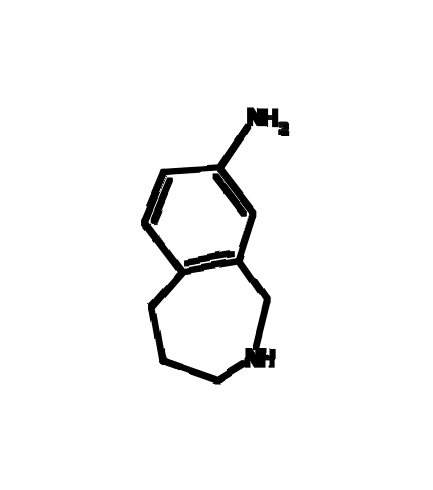 Nc1ccc2c(c1)CNCCC2